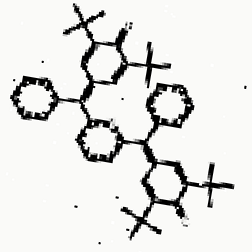 CC(C)(C)C1=CC(=C(c2ccccc2)c2cccc(C(=C3C=C(C(C)(C)C)C(=O)C(C(C)(C)C)=C3)c3ccccc3)n2)C=C(C(C)(C)C)C1=O